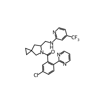 O=C(c1cc(Cl)ccc1-c1ncccn1)N1CC2(CC2)CC1CNc1cc(C(F)(F)F)ccn1